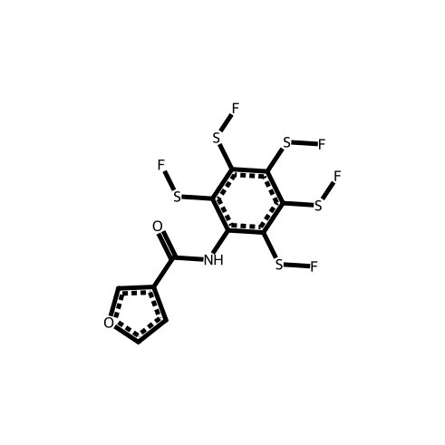 O=C(Nc1c(SF)c(SF)c(SF)c(SF)c1SF)c1ccoc1